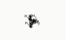 Cc1nc(/C(N)=C(\CNc2cc(OCC(C)C)ncn2)N(C)N)ccc1OC1CCCCC1